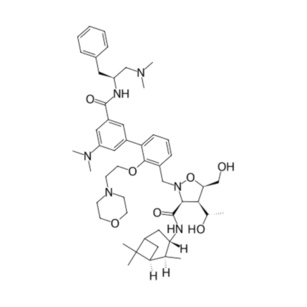 C[C@@H]1[C@@H](NC(=O)[C@@H]2[C@H]([C@H](C)O)[C@H](CO)ON2Cc2cccc(-c3cc(C(=O)N[C@@H](Cc4ccccc4)CN(C)C)cc(N(C)C)c3)c2OCCN2CCOCC2)CC2C[C@@H]1C2(C)C